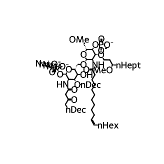 CCCCCC/C=C\CCCCCCCCCC(=O)N[C@H]1[C@H](OC[C@H]2O[C@H](OP(=O)([O-])[O-])[C@H](NC(=O)CC(=O)CCCCCCCCCCC)[C@@H](OCCCCCCCCCC)[C@@H]2O)O[C@H](COC)[C@@H](OP(=O)([O-])[O-])[C@@H]1OCC[C@@H](CCCCCCC)OC.[Na+].[Na+].[Na+].[Na+]